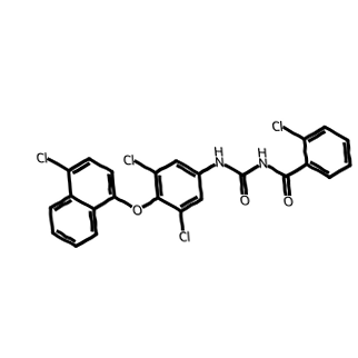 O=C(NC(=O)c1ccccc1Cl)Nc1cc(Cl)c(Oc2ccc(Cl)c3ccccc23)c(Cl)c1